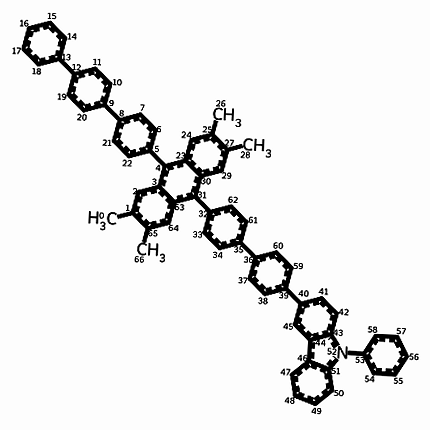 Cc1cc2c(-c3ccc(-c4ccc(-c5ccccc5)cc4)cc3)c3cc(C)c(C)cc3c(-c3ccc(-c4ccc(-c5ccc6c(c5)c5ccccc5n6-c5ccccc5)cc4)cc3)c2cc1C